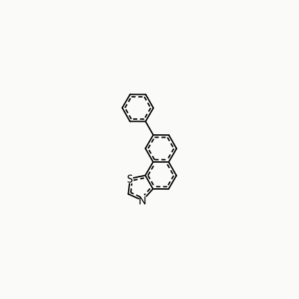 c1ccc(-c2ccc3ccc4ncsc4c3c2)cc1